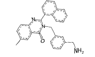 Cc1ccc2nc(-c3cccc4ccccc34)n(Cc3cccc(CN)c3)c(=O)c2c1